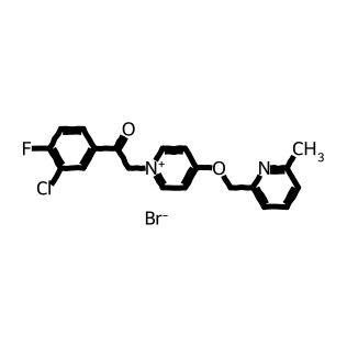 Cc1cccc(COc2cc[n+](CC(=O)c3ccc(F)c(Cl)c3)cc2)n1.[Br-]